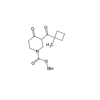 CC(C)(C)OC(=O)N1CCC(=O)C(C(=O)C2(C)CCC2)C1